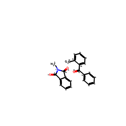 CN1C(=O)c2ccccc2C1=O.O=C(c1ccccc1)c1ccccc1[N+](=O)[O-]